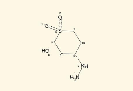 Cl.NNC1CCS(=O)(=O)CC1